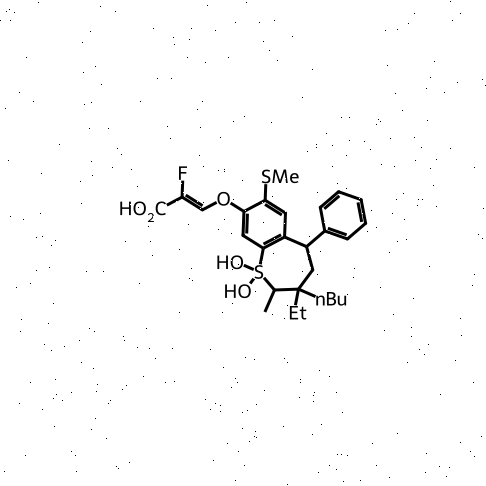 CCCCC1(CC)CC(c2ccccc2)c2cc(SC)c(O/C=C(\F)C(=O)O)cc2S(O)(O)C1C